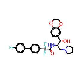 O=C(N[C@H](CN1CCCC1)[C@H](O)c1ccc2c(c1)OCCO2)C(F)(F)c1ccc(-c2ccc(F)cc2)cc1